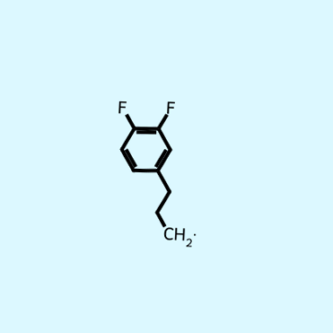 [CH2]CCc1ccc(F)c(F)c1